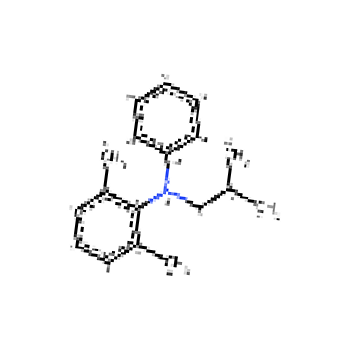 Cc1cccc(C)c1N(CC(C)C)c1ccccc1